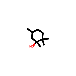 CC1CCC(C)(C)C(C)(O)C1